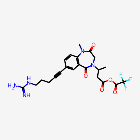 CC(CC(=O)OC(=O)C(F)(F)F)N1CC(=O)N(C)c2ccc(C#CCCCNC(=N)N)cc2C1=O